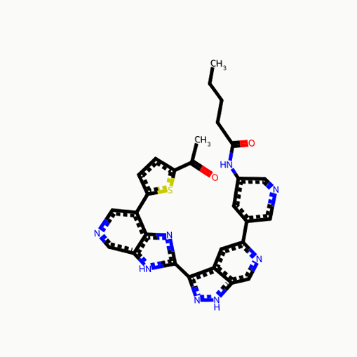 CCCCC(=O)Nc1cncc(-c2cc3c(-c4nc5c(-c6ccc(C(C)=O)s6)cncc5[nH]4)n[nH]c3cn2)c1